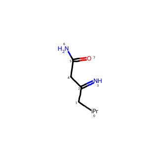 CC(C)CC(=N)CC(N)=O